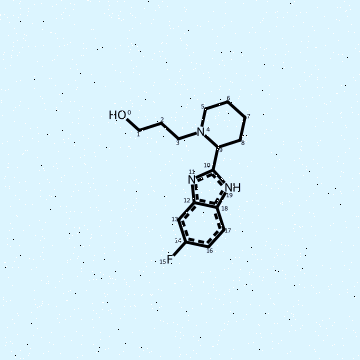 OCCCN1CCCCC1c1nc2cc(F)ccc2[nH]1